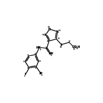 N=C(Nc1ccc(F)c(Br)c1)c1nonc1SCC(=O)O